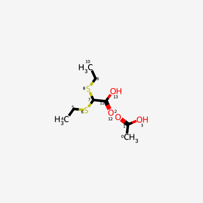 CC(=O)O.CCSC(SCC)C(=O)O